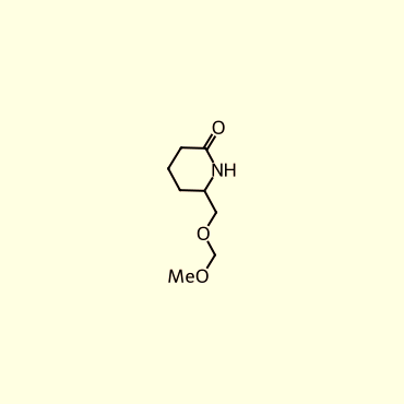 COCOCC1CCCC(=O)N1